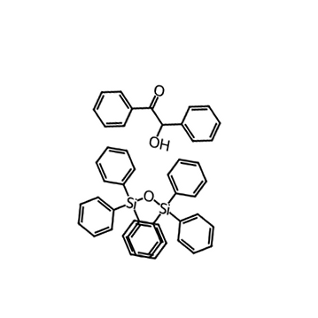 O=C(c1ccccc1)C(O)c1ccccc1.c1ccc([Si](O[Si](c2ccccc2)(c2ccccc2)c2ccccc2)(c2ccccc2)c2ccccc2)cc1